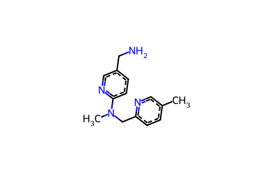 Cc1ccc(CN(C)c2ccc(CN)cn2)nc1